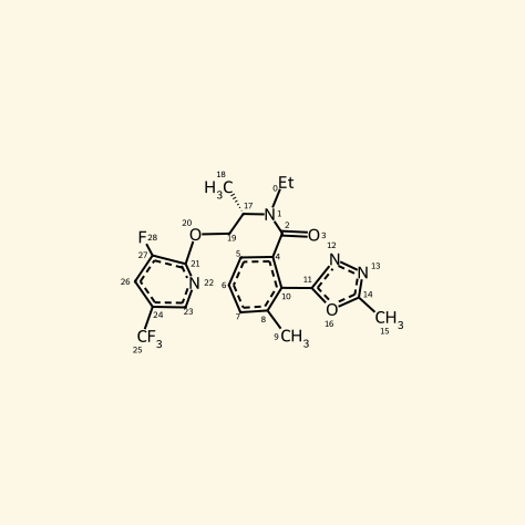 CCN(C(=O)c1cccc(C)c1-c1nnc(C)o1)[C@@H](C)COc1ncc(C(F)(F)F)cc1F